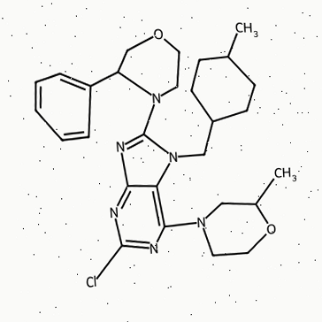 CC1CCC(Cn2c(N3CCOCC3c3ccccc3)nc3nc(Cl)nc(N4CCOC(C)C4)c32)CC1